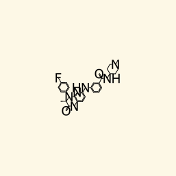 C[C@@H]1C(=O)N(C)c2ccc(Nc3cccc(C(=O)NC4CCN(C)CC4)c3)nc2N1c1ccc(F)cc1